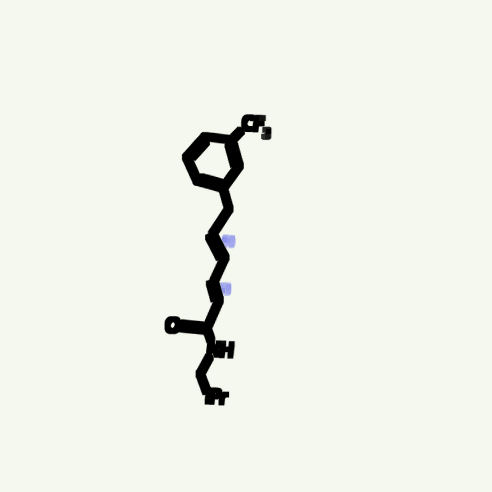 CC(C)CNC(=O)/C=C/C=C/Cc1cccc(C(F)(F)F)c1